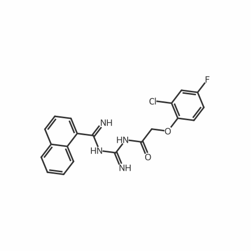 N=C(NC(=N)c1cccc2ccccc12)NC(=O)COc1ccc(F)cc1Cl